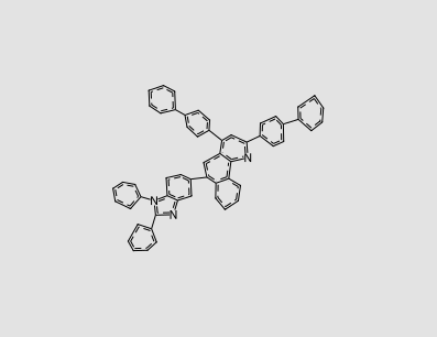 c1ccc(-c2ccc(-c3cc(-c4ccc(-c5ccccc5)cc4)c4cc(-c5ccc6c(c5)nc(-c5ccccc5)n6-c5ccccc5)c5ccccc5c4n3)cc2)cc1